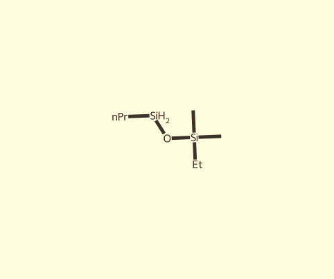 [CH2]CC[SiH2]O[Si](C)(C)CC